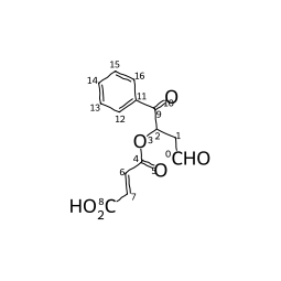 O=CCC(OC(=O)C=CC(=O)O)C(=O)c1ccccc1